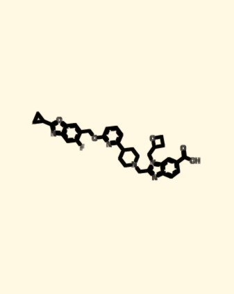 O=C(O)c1ccc2nc(CN3CCC(c4cccc(OCc5cc6oc(C7CC7)nc6cc5F)n4)CC3)n(CC3CCO3)c2c1